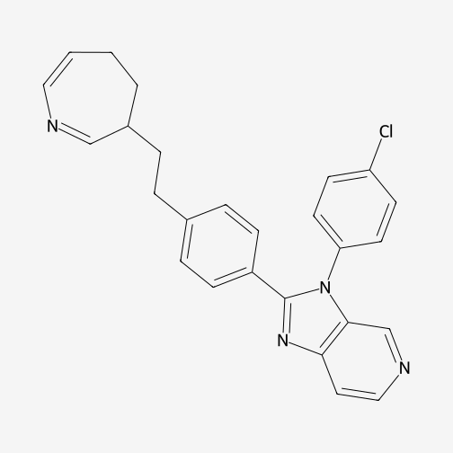 Clc1ccc(-n2c(-c3ccc(CCC4C=NC=CCC4)cc3)nc3ccncc32)cc1